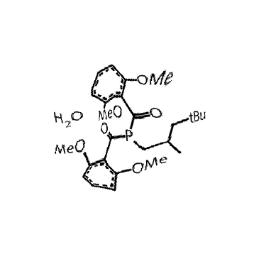 COc1cccc(OC)c1C(=O)P(CC(C)CC(C)(C)C)C(=O)c1c(OC)cccc1OC.O